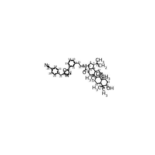 C=C(C)[C@@H]1CC[C@]2(C(=O)NCCc3cccc(-c4nnc(Cc5ccc(C#N)cc5)o4)c3)CC[C@]3(C)C(CCC4[C@@]5(C)CC[C@H](O)C(C)(C)C5CC[C@]43C)C12